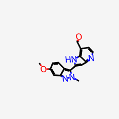 COc1ccc2c(-c3cc4nccc(C=O)c4[nH]3)n(C)nc2c1